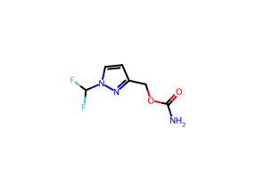 NC(=O)OCc1ccn(C(F)F)n1